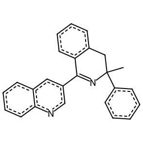 CC1(c2ccccc2)Cc2ccccc2C(c2cnc3ccccc3c2)=N1